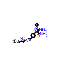 CC(C)(C)Cc1cc(NCCc2ccc(-c3nn(C4CCC4)c(N)c3C(N)=O)cc2)on1